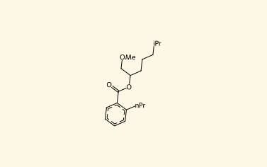 CCCc1ccccc1C(=O)OC(CCCC(C)C)COC